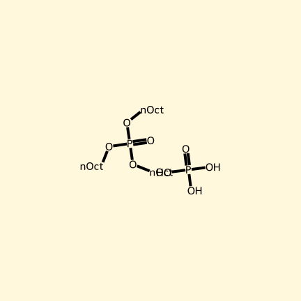 CCCCCCCCOP(=O)(OCCCCCCCC)OCCCCCCCC.O=P(O)(O)O